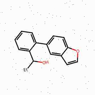 CCC(O)c1ccccc1-c1ccc2occc2c1